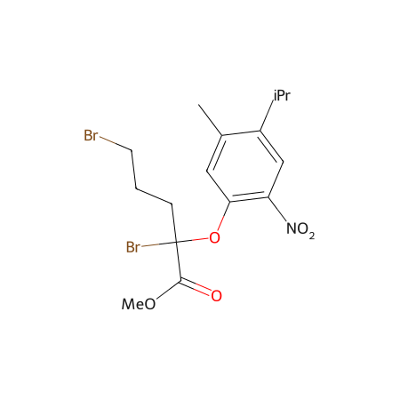 COC(=O)C(Br)(CCCBr)Oc1cc(C)c(C(C)C)cc1[N+](=O)[O-]